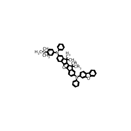 CC1(C)c2cc(N(c3ccccc3)c3ccc([Si](C)(C)C)cc3)ccc2-c2oc3c(c21)C(C)(C)c1cc(N(c2ccccc2)c2ccc4c(c2)oc2ccccc24)ccc1-3